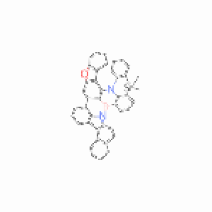 C[Si]1(C)c2ccccc2N2c3c(cccc31)B1c3c(cc4oc5ccccc5c4c32)-c2cccc3c4c5ccccc5ccc4n1c23